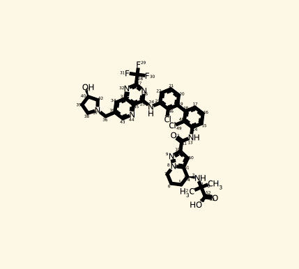 CC(C)(N[C@H]1CCCn2nc(C(=O)Nc3cccc(-c4cccc(Nc5nc(C(F)(F)F)nc6cc(CN7CC[C@@H](O)C7)cnc56)c4Cl)c3Cl)cc21)C(=O)O